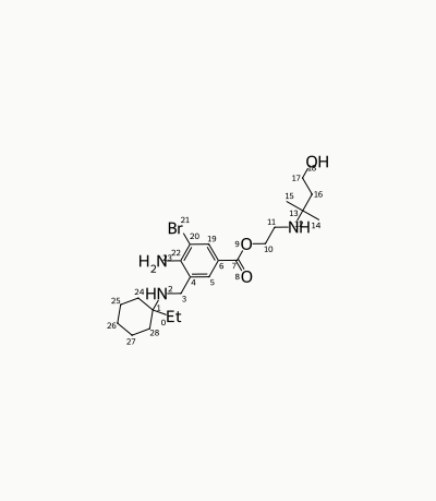 CCC1(NCc2cc(C(=O)OCCNC(C)(C)CCO)cc(Br)c2N)CCCCC1